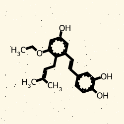 CCOc1cc(O)cc(/C=C/c2ccc(O)c(O)c2)c1CC=C(C)C